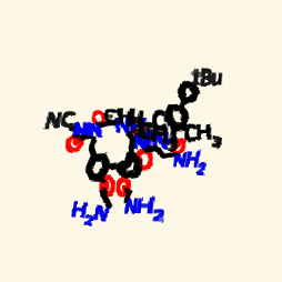 Cc1cc(-c2ccc(C(C)(C)C)cc2)cc(C)c1C(=O)N[C@@H](CCN)C(=O)N(C)[C@@H]1C(=O)N[C@@H](C)C(=O)N[C@H](C(=O)NCC#N)Cc2ccc(OCCN)c(c2)-c2cc1ccc2OCCN